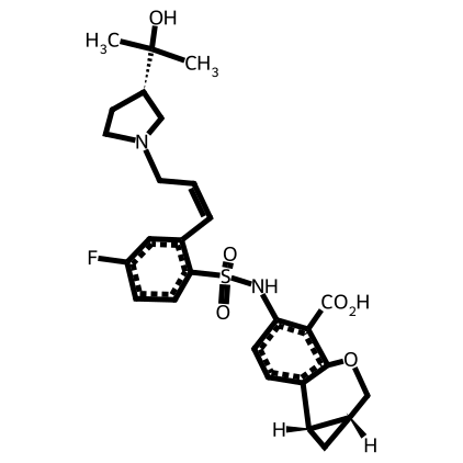 CC(C)(O)[C@H]1CCN(C/C=C\c2cc(F)ccc2S(=O)(=O)Nc2ccc3c(c2C(=O)O)OC[C@@H]2C[C@H]32)C1